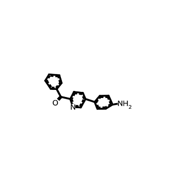 Nc1ccc(-c2ccc(C(=O)c3ccccc3)nc2)cc1